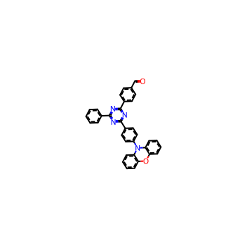 O=Cc1ccc(-c2nc(-c3ccccc3)nc(-c3ccc(N4c5ccccc5Oc5ccccc54)cc3)n2)cc1